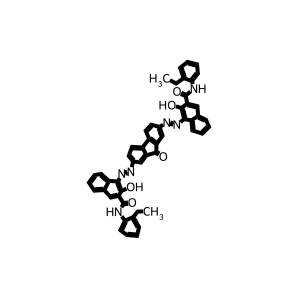 CCc1ccccc1NC(=O)c1cc2ccccc2c(N=Nc2ccc3c(c2)C(=O)c2cc(N=Nc4c(O)c(C(=O)Nc5ccccc5CC)cc5ccccc45)ccc2-3)c1O